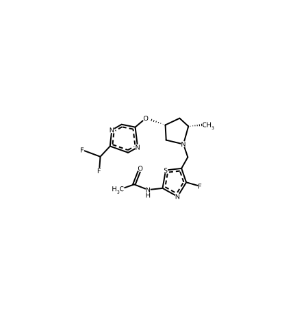 CC(=O)Nc1nc(F)c(CN2C[C@H](Oc3cnc(C(F)F)cn3)C[C@@H]2C)s1